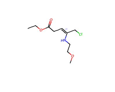 CCOC(=O)C/C=C(/CCl)NCCOC